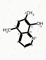 Cc1cc(C)c2cccnc2c1O